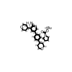 CC(C)(C)OC(=O)N1CCC[C@H]1c1cc(-c2cnc(N)c(C3CCOCC3)c2)ccc1C1CCOCC1